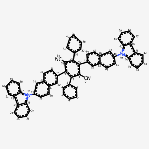 N#Cc1c(-c2ccccc2)c(-c2ccc3cc(-n4c5ccccc5c5ccccc54)ccc3c2)c(C#N)c(-c2ccccc2)c1-c1ccc2cc(-n3c4ccccc4c4ccccc43)ccc2c1